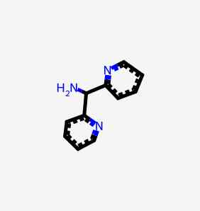 NC(c1ccccn1)c1ccccn1